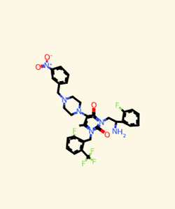 Cc1c(N2CCN(Cc3cccc([N+](=O)[O-])c3)CC2)c(=O)n(CC(N)c2ccccc2F)c(=O)n1Cc1c(F)cccc1C(F)(F)F